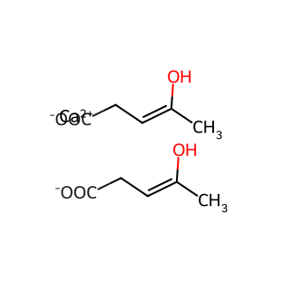 CC(O)=CCC(=O)[O-].CC(O)=CCC(=O)[O-].[Ca+2]